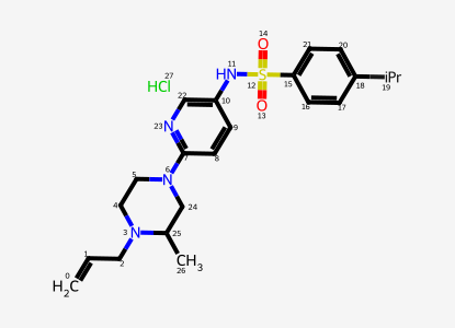 C=CCN1CCN(c2ccc(NS(=O)(=O)c3ccc(C(C)C)cc3)cn2)CC1C.Cl